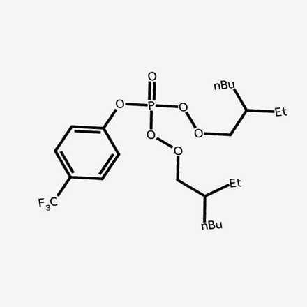 CCCCC(CC)COOP(=O)(OOCC(CC)CCCC)Oc1ccc(C(F)(F)F)cc1